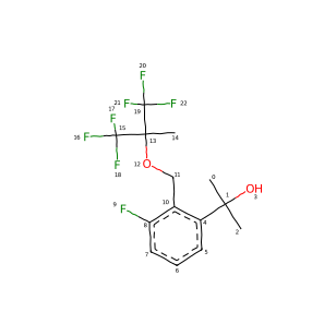 CC(C)(O)c1cccc(F)c1COC(C)(C(F)(F)F)C(F)(F)F